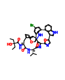 CCC(O)(CC)C(=O)N[C@H]1Cc2ccc3c(c2)C24c5cc(Br)cc(c5NC2O3)-c2cccc3[nH]cc(c23)-c2cnc(o2)-c2nc(oc24)[C@H](C(C)C)NC1=O